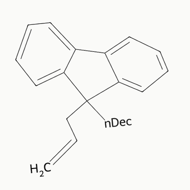 C=CCC1(CCCCCCCCCC)c2ccccc2-c2ccccc21